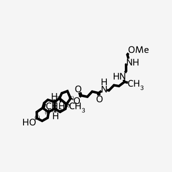 COCNCCNC(C)CCCNC(=O)CCC(=O)O[C@H]1CC[C@H]2[C@@H]3CC=C4C[C@@H](O)CC[C@]4(C)[C@H]3CC[C@]12C